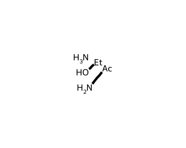 CC(N)=O.CCO.N